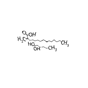 C=C(CCCCCCCCCCCCC)C(=O)O.CCCCCC(O)O